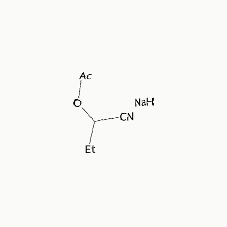 CCC(C#N)OC(C)=O.[NaH]